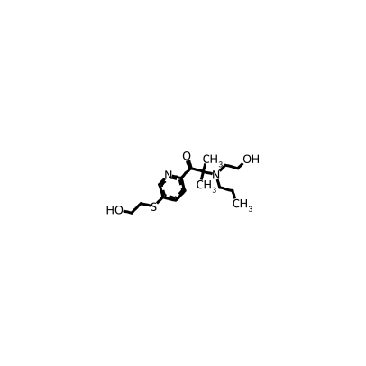 CCCN(CCO)C(C)(C)C(=O)c1ccc(SCCO)cn1